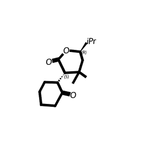 CC(C)[C@H]1CC(C)(C)[C@H](C2CCCCC2=O)C(=O)O1